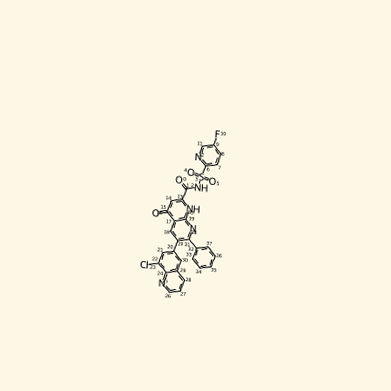 O=C(NS(=O)(=O)c1ccc(F)cn1)c1cc(=O)c2cc(-c3cc(Cl)c4ncccc4c3)c(-c3ccccc3)nc2[nH]1